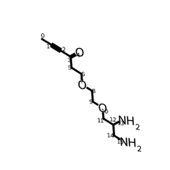 CC#CC(=O)CCOCCOCC(N)CN